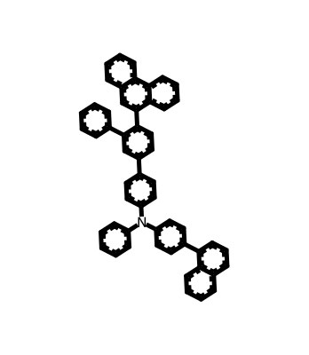 c1ccc(-c2cc(-c3ccc(N(c4ccccc4)c4ccc(-c5cccc6ccccc56)cc4)cc3)ccc2-c2cc3ccccc3c3ccccc23)cc1